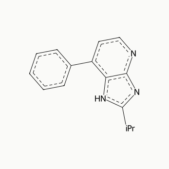 CC(C)c1nc2nccc(-c3ccccc3)c2[nH]1